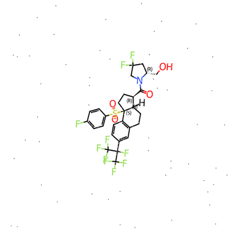 O=C([C@@H]1CC[C@@]2(S(=O)(=O)c3ccc(F)cc3)c3ccc(C(F)(C(F)(F)F)C(F)(F)F)cc3CC[C@@H]12)N1CC(F)(F)C[C@@H]1CO